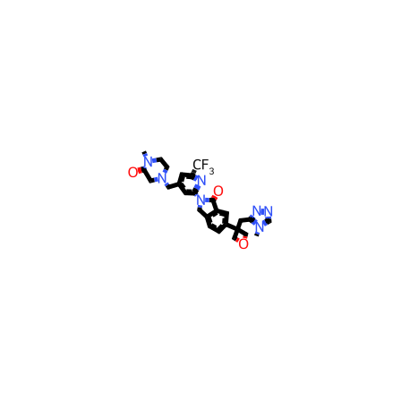 CN1CCN(Cc2cc(N3Cc4ccc(C5(Cc6nncn6C)COC5)cc4C3=O)nc(C(F)(F)F)c2)CC1=O